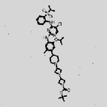 Cc1cc(Nc2ncc(Cl)c(Nc3ccccc3S(=O)(=O)C(C)C)n2)c(OC(C)C)cc1C1CCN(C2CN(C3CN(C(=O)OC(C)(C)C)C3)C2)CC1